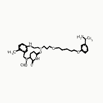 Cc1ccc(NCCOCCCOCCCCCOc2cccc([C@@H](C)N)c2)cc1CN(C=O)C1CCC(=O)NC1=O